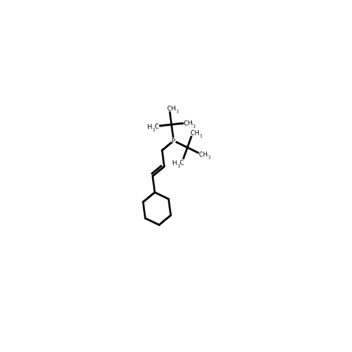 CC(C)(C)P(CC=CC1CCCCC1)C(C)(C)C